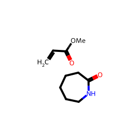 C=CC(=O)OC.O=C1CCCCCN1